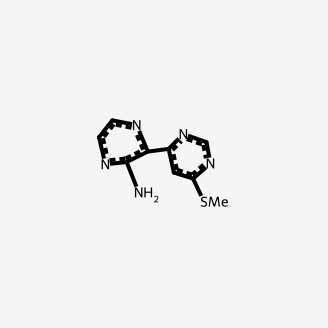 CSc1cc(-c2nccnc2N)ncn1